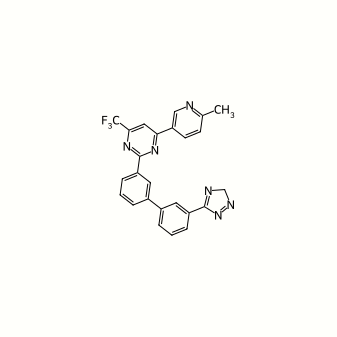 Cc1ccc(-c2cc(C(F)(F)F)nc(-c3cccc(-c4cccc(C5=NCN=N5)c4)c3)n2)cn1